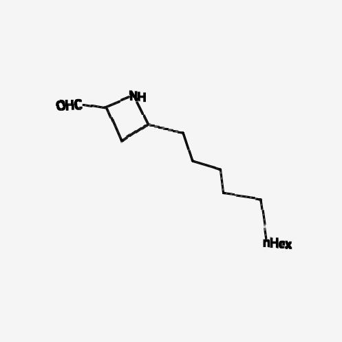 CCCCCCCCCCCC1CC(C=O)N1